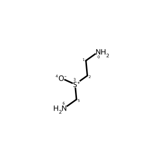 NCC[S+]([O-])CN